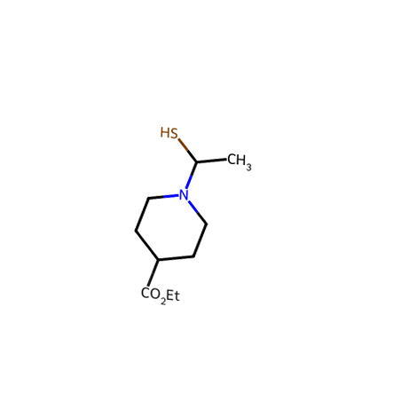 CCOC(=O)C1CCN(C(C)S)CC1